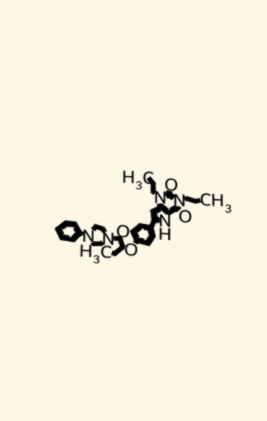 CCCn1c(=O)c2[nH]c(-c3ccc(OC(CC)C(=O)N4CCN(c5ccccc5)CC4)cc3)cc2n(CCC)c1=O